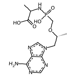 CC(NP(=O)(O)CO[C@H](C)Cn1cnc2c(N)ncnc21)C(=O)O